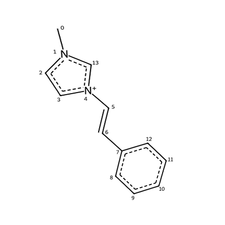 Cn1cc[n+](C=Cc2ccccc2)c1